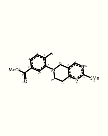 COC(=O)c1ccc(C)c(N2CCc3nc(SC)ncc3C2)c1